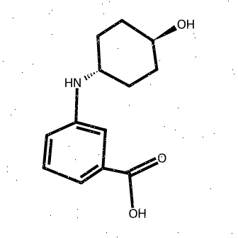 O=C(O)c1cccc(N[C@H]2CC[C@H](O)CC2)c1